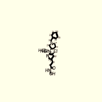 Cl.Cl.O=C(C=Cc1cnc(N[C@@H]2CCCN(Cc3ccccc3)C2)c(Cl)c1)NO